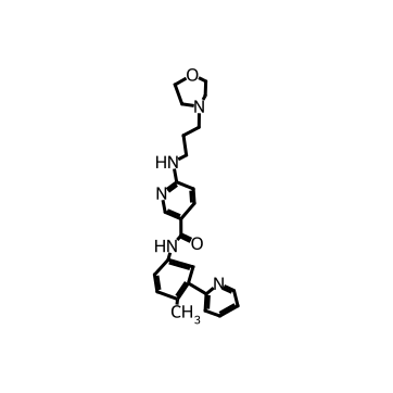 Cc1ccc(NC(=O)c2ccc(NCCCN3CCOCC3)nc2)cc1-c1ccccn1